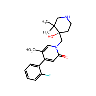 CC1(C)CNCC[C@@]1(O)Cn1cc(C(=O)O)c(-c2ccccc2F)cc1=O